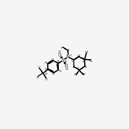 CCN(C1CC(C)(C)CC(C)(C)C1)S(=O)(=O)c1ccc(C(C)(C)C)cc1